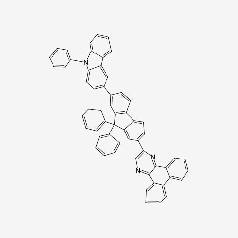 C1=CCCC(C2(c3ccccc3)c3cc(-c4ccc5c(c4)c4ccccc4n5-c4ccccc4)ccc3-c3ccc(-c4cnc5c6ccccc6c6ccccc6c5n4)cc32)=C1